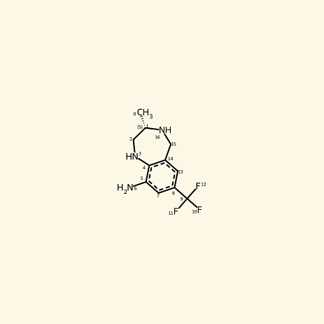 C[C@H]1CNc2c(N)cc(C(F)(F)F)cc2CN1